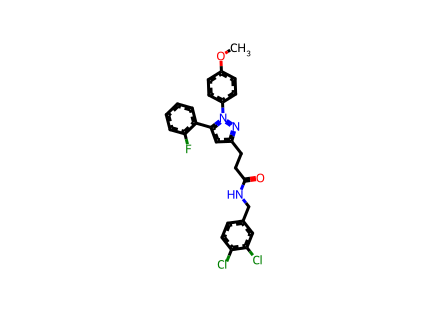 COc1ccc(-n2nc(CCC(=O)NCc3ccc(Cl)c(Cl)c3)cc2-c2ccccc2F)cc1